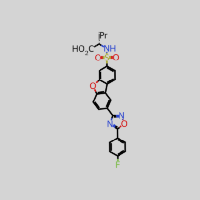 CC(C)[C@H](NS(=O)(=O)c1ccc2c(c1)oc1ccc(-c3noc(-c4ccc(F)cc4)n3)cc12)C(=O)O